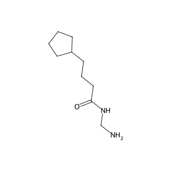 NCNC(=O)CCCC1CCCC1